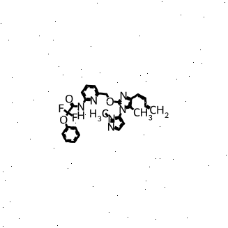 C=C/C=C\c1nc(OCc2cccc(NC(=O)C(F)(F)Oc3ccccc3)n2)n(-c2ccnn2C)c1C